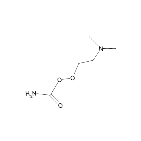 CN(C)CCOOC(N)=O